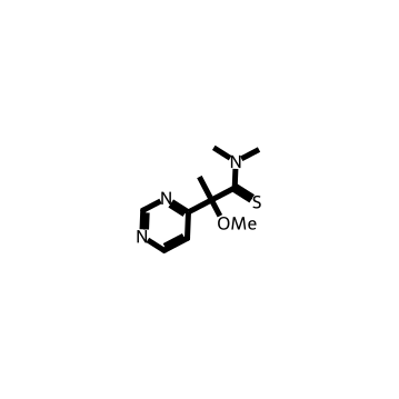 COC(C)(C(=S)N(C)C)c1ccncn1